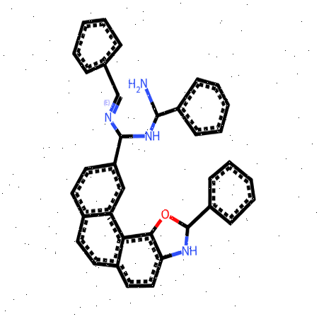 NC(NC(/N=C/c1ccccc1)c1ccc2ccc3ccc4c(c3c2c1)OC(c1ccccc1)N4)c1ccccc1